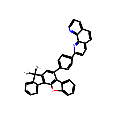 CC1(C)c2ccccc2-c2c1cc(-c1ccc(-c3ccc4ccc5cccnc5c4n3)cc1)c1c2oc2ccccc21